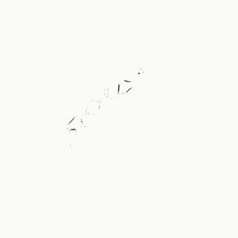 CCOc1nccc(N2CCC(NCc3ccc(C#N)cc3)CC2)n1